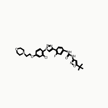 CC(C)(C)c1cc(NC(=O)Nc2ccc(-c3cn(-c4ccc(OCCN5CCOCC5)cc4Cl)nn3)c(F)c2)no1